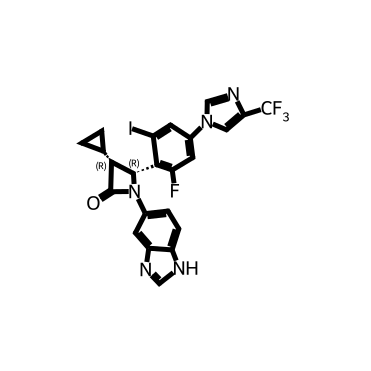 O=C1[C@H](C2CC2)[C@H](c2c(F)cc(-n3cnc(C(F)(F)F)c3)cc2I)N1c1ccc2[nH]cnc2c1